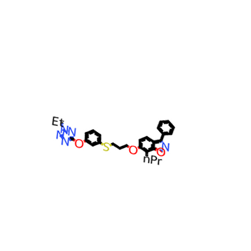 CCCc1c(OCCCSc2cccc(Oc3nnn(CC)n3)c2)ccc2c(-c3ccccc3)noc12